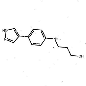 OCCCNc1ccc(-c2cn[nH]c2)cc1